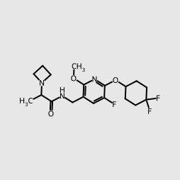 COc1nc(OC2CCC(F)(F)CC2)c(F)cc1CNC(=O)C(C)N1CCC1